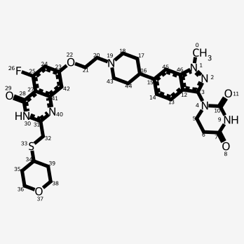 Cn1nc(N2CCC(=O)NC2=O)c2ccc(C3CCN(CCOc4cc(F)c5c(=O)[nH]c(CSC6CCOCC6)nc5c4)CC3)cc21